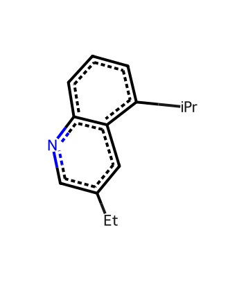 CCc1cnc2cccc(C(C)C)c2c1